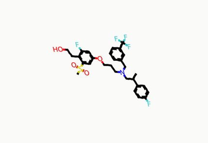 CC(CN(CCCOc1cc(F)c(CCO)c(S(C)(=O)=O)c1)Cc1cccc(C(F)(F)F)c1)c1ccc(F)cc1